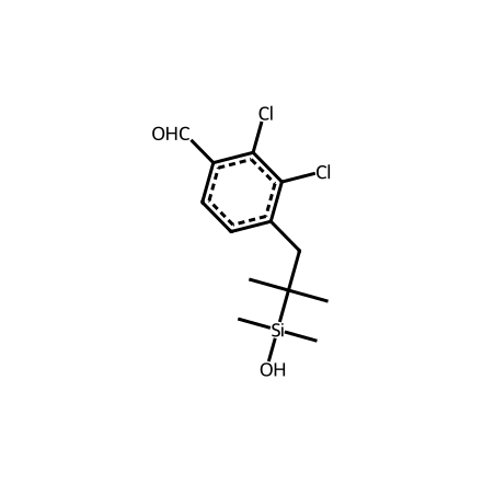 CC(C)(Cc1ccc(C=O)c(Cl)c1Cl)[Si](C)(C)O